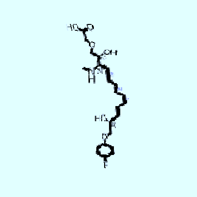 CN[C@H](/C=C/C=C/C=C\C=C[C@H](O)COc1ccc(F)cc1)[C@H](O)COCC(=O)O